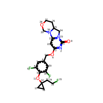 O=c1nc(OCc2cc(F)c(OC3(CCF)CC3)c(F)c2)cc2n1CC1CCOCN21